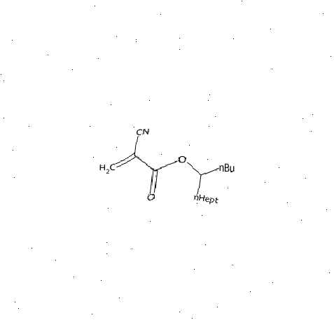 C=C(C#N)C(=O)OC(CCCC)CCCCCCC